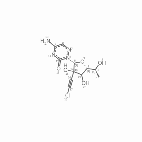 C[C@H](O)[C@H]1O[C@@H](n2ncc(N)nc2=O)[C@@](O)(C#CCl)C1O